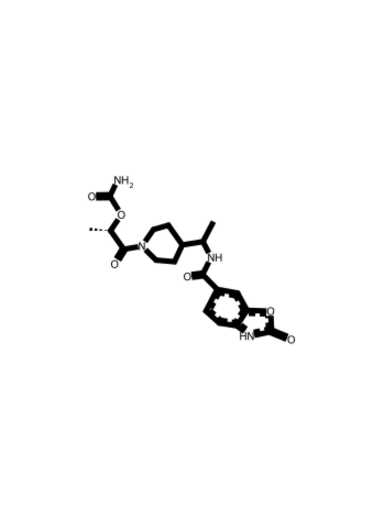 CC(NC(=O)c1ccc2[nH]c(=O)oc2c1)C1CCN(C(=O)[C@H](C)OC(N)=O)CC1